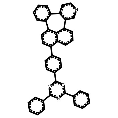 c1ccc(-c2nc(-c3ccccc3)nc(-c3ccc(-c4ccc5c6c(cccc46)-c4cnccc4-c4ccccc4-5)cc3)n2)cc1